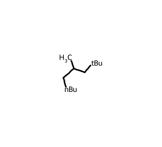 CCCCCC(C)CC(C)(C)C